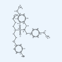 C=CCCC(CCOc1ccc(Br)cc1)S(=O)(=O)N(Cc1ccc(OC)cc1)Cc1ccc(OC)cc1